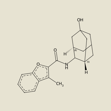 Cc1c(C(=O)NC2[C@@H]3CC4C[C@H]2CC(O)(C4)C3)oc2ccccc12